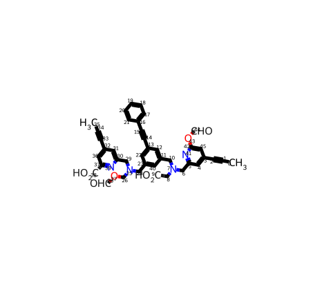 CC#Cc1cc(CN(CC(=O)O)Cc2cc(C#Cc3ccccc3)cc(CN(COC=O)Cc3cc(C#CC)cc(C(=O)O)n3)c2)nc(OC=O)c1